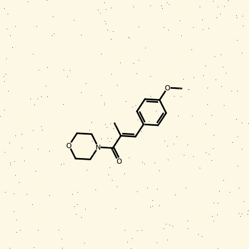 COc1ccc(/C=C(\C)C(=O)N2CCOCC2)cc1